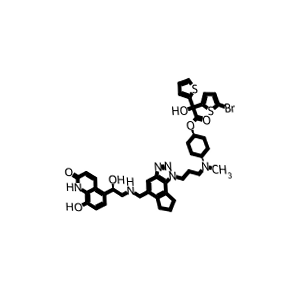 CN(CCCn1nnc2cc(CNC[C@H](O)c3ccc(O)c4[nH]c(=O)ccc34)c3c(c21)CCC3)[C@H]1CC[C@H](OC(=O)C(O)(c2cccs2)c2ccc(Br)s2)CC1